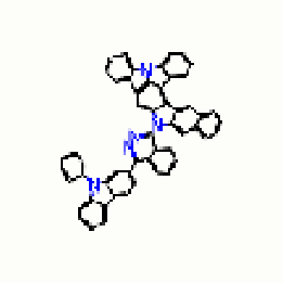 c1ccc(-n2c3ccccc3c3ccc(-c4nnc(-n5c6cc7ccccc7cc6c6c7c8ccccc8n8c9ccccc9c(cc65)c78)c5ccccc45)cc32)cc1